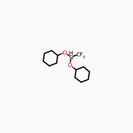 FC(F)(F)[SiH](OC1CCCCC1)OC1CCCCC1